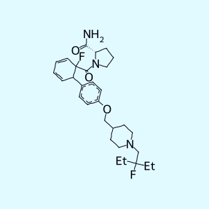 CCC(F)(CC)CN1CCC(COc2ccc(C3C=CC=CC3(F)C(=O)N3CCC[C@H]3C(N)=O)cc2)CC1